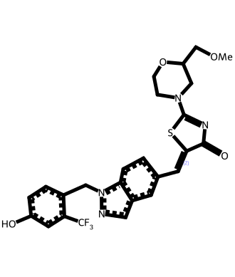 COCC1CN(C2=NC(=O)/C(=C/c3ccc4c(cnn4Cc4ccc(O)cc4C(F)(F)F)c3)S2)CCO1